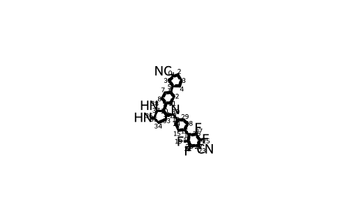 N#Cc1cccc(-c2ccc3c4c(c(-c5ccc(-c6c(F)c(F)c(C#N)c(F)c6F)cc5)nc3c2)C=CC(=N)C4=N)c1